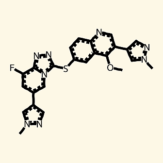 COc1c(-c2cnn(C)c2)cnc2ccc(Sc3nnc4c(F)cc(-c5cnn(C)c5)cn34)cc12